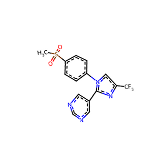 CS(=O)(=O)c1ccc(-n2cc(C(F)(F)F)nc2-c2cncnc2)cc1